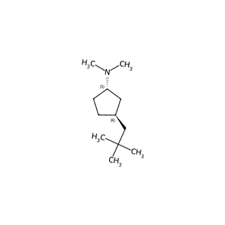 CN(C)[C@H]1CC[C@H](CC(C)(C)C)C1